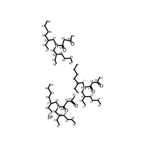 CCCCC(CC)CN(CC(CC)CCCC)C(=O)CC(C)=O.CCCCC(CC)CN(CC(CC)CCCC)C(=O)CC(C)=O.CCCCC(CC)CN(CC(CC)CCCC)C(=O)CC(C)=O.[Fe]